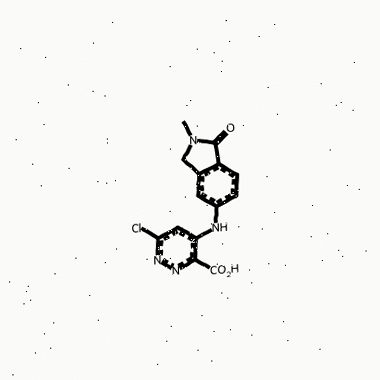 CN1Cc2cc(Nc3cc(Cl)nnc3C(=O)O)ccc2C1=O